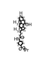 CC(C)OC(=O)c1ccc(NC(=O)CCCC2CCC3C4C(O)CC5CNCCC5(C)C4CCC23C)cc1